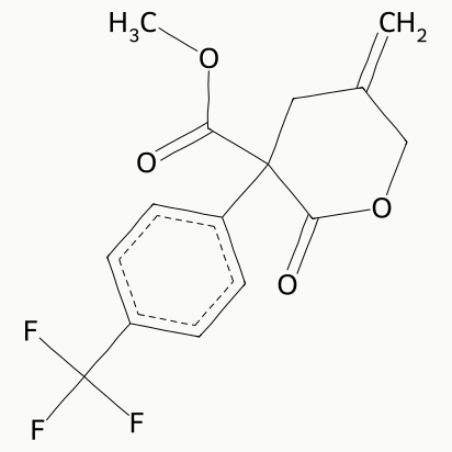 C=C1COC(=O)C(C(=O)OC)(c2ccc(C(F)(F)F)cc2)C1